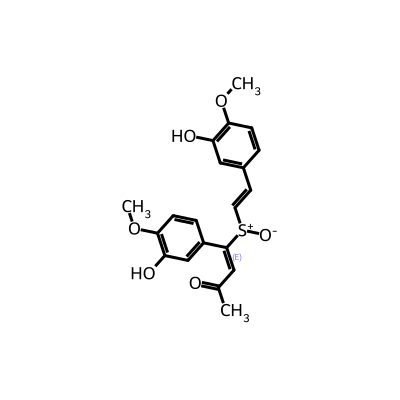 COc1ccc(C=C[S+]([O-])/C(=C/C(C)=O)c2ccc(OC)c(O)c2)cc1O